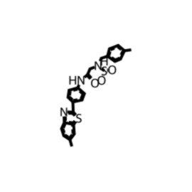 Cc1ccc(CN(CC(=O)Nc2ccc(-c3nc4ccc(C)cc4s3)cc2)[SH](=O)=O)cc1